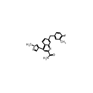 Cc1cc(Cc2ccc3c(-c4cnn(C)c4)cc(C(N)=O)nc3c2)ccc1F